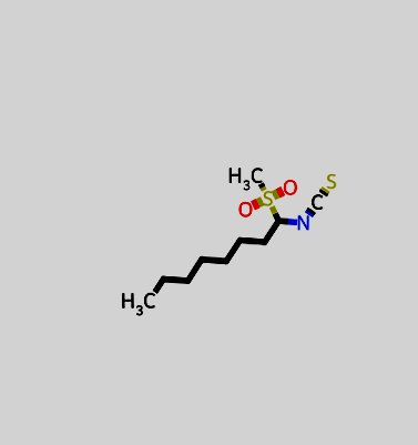 CCCCCCCC(N=C=S)S(C)(=O)=O